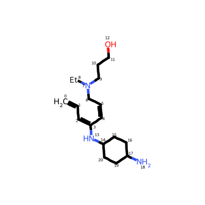 C=C/C=C(\C=C/CN(CC)CCCO)NC1CCC(N)CC1